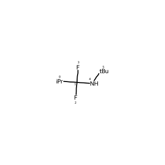 CC(C)C(F)(F)NC(C)(C)C